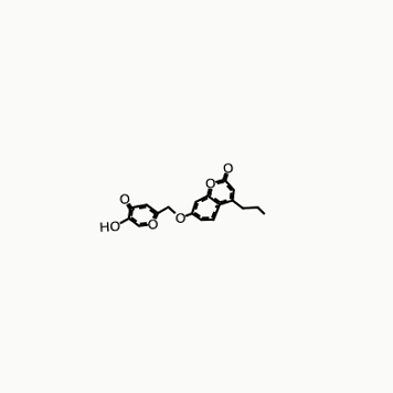 CCCc1cc(=O)oc2cc(OCc3cc(=O)c(O)co3)ccc12